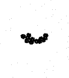 CC1(C)c2ccc(-c3ccc(-c4c5ccccc5c(-c5ccccc5)c5ccccc45)c4ccccc34)cc2-c2ccc3c(ccc4sc5ccccc5c43)c21